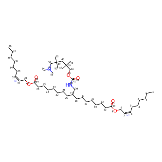 CCCCCC/C=C\COC(=O)CCCCCCCC(CCCCCCCC(=O)OC/C=C\CCCCCC)CNC(=O)OCC(C)(C)CC(C)(C)CN(C)C